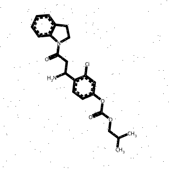 CC(C)COC(=O)Oc1ccc(C(N)CC(=O)N2CCc3ccccc32)c(Cl)c1